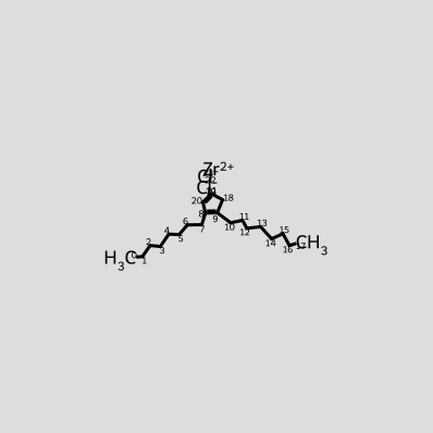 CCCCCCCCC1=C(CCCCCCCC)CC=C1.[Cl-].[Cl-].[Zr+2]